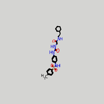 Cc1ccc(S(=O)(=O)Nc2ccc(NC(=O)NCC(=O)NCCC3CCCCC3)cc2)cc1